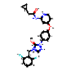 O=C(CC1CC1)Nc1cc(Oc2ccc(-n3ncn(Cc4c(F)cccc4F)c3=O)cc2)ccn1